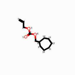 C=CCOC(=O)OCC1CCCCCC1